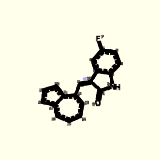 O=C1Nc2ccc(F)cc2/C1=C/c1ccccc2cccc1-2